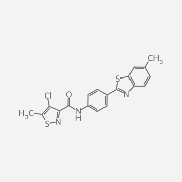 Cc1ccc2nc(-c3ccc(NC(=O)c4nsc(C)c4Cl)cc3)sc2c1